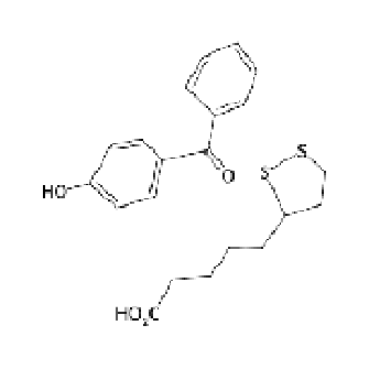 O=C(O)CCCCC1CCSS1.O=C(c1ccccc1)c1ccc(O)cc1